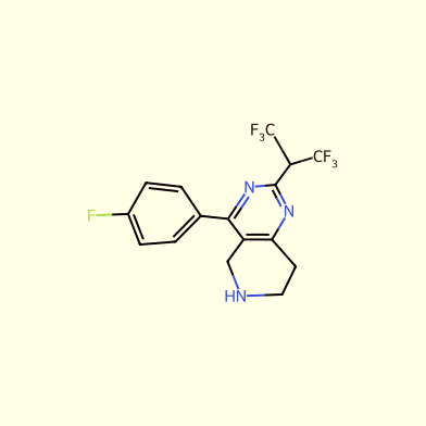 Fc1ccc(-c2nc(C(C(F)(F)F)C(F)(F)F)nc3c2CNCC3)cc1